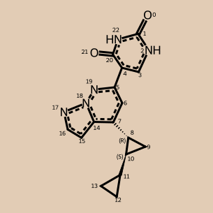 O=c1[nH]cc(-c2cc([C@@H]3C[C@H]3C3CC3)c3ccnn3n2)c(=O)[nH]1